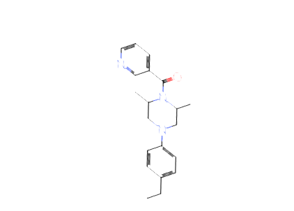 CCc1ccc(N2CC(C)N(C(=O)c3cccnc3)C(C)C2)cc1